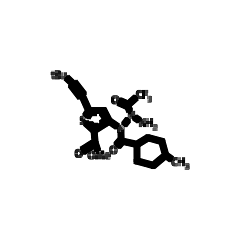 COC(=O)c1sc(C#CC(C)(C)C)cc1N(C(=O)C1CCC(C)CC1)N(N)C(=O)C(F)(F)F